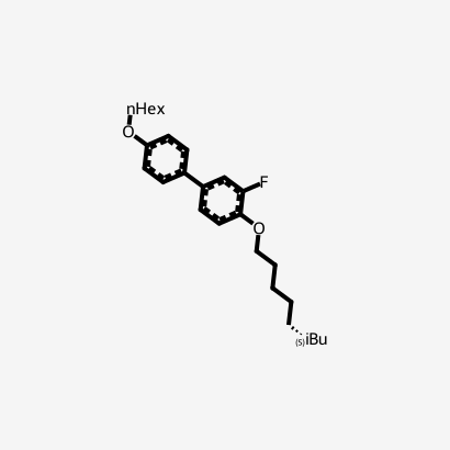 CCCCCCOc1ccc(-c2ccc(OCCCCC[C@@H](C)CC)c(F)c2)cc1